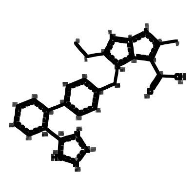 CCc1nc2sc(C)c(C(=O)O)c2n1Cc1ccc(-c2ccccc2-c2nnn[nH]2)cc1